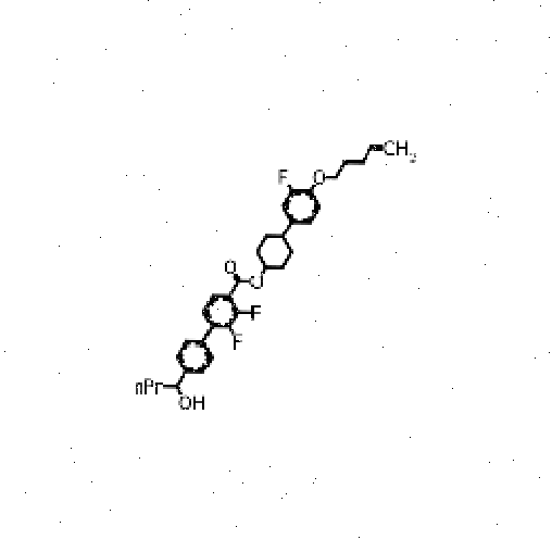 C=CCCCOc1ccc(C2CCC(OC(=O)c3ccc(-c4ccc(C(O)CCC)cc4)c(F)c3F)CC2)cc1F